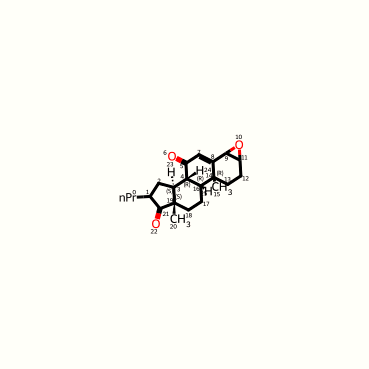 CCCC1C[C@H]2[C@@H]3C(=O)C=C4C5OC5CC[C@]4(C)[C@@H]3CC[C@]2(C)C1=O